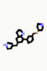 C1=CC(Cc2cc(-c3cccc(CSc4ccncc4)c3)c3ncccc3c2)=CCN1